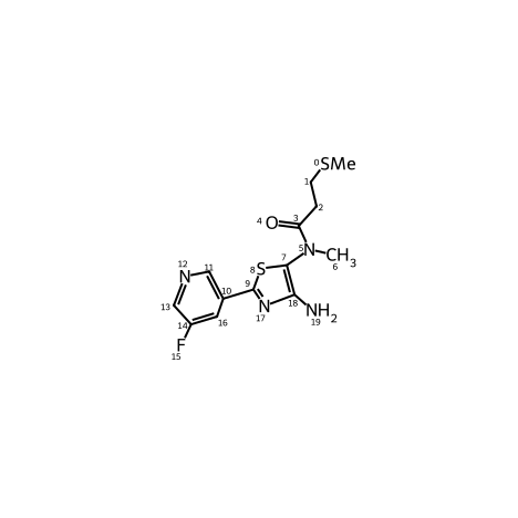 CSCCC(=O)N(C)c1sc(-c2cncc(F)c2)nc1N